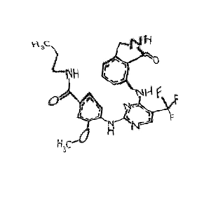 CCCNC(=O)c1ccc(Nc2ncc(C(F)(F)F)c(Nc3cccc4c3C(=O)NC4)n2)c(OC)c1